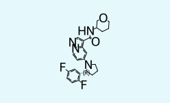 O=C(NC1CCCOC1)c1cnn2ccc(N3CCC[C@@H]3c3cc(F)ccc3F)cc12